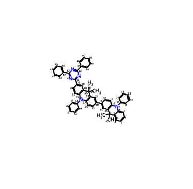 CC1(C)c2ccccc2N(c2ccccc2)c2ccc(-c3ccc4c(c3)C(C)(C)c3cc(-c5nc(-c6ccccc6)nc(-c6ccccc6)n5)ccc3N4c3ccccc3)cc21